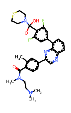 Cc1cc(-c2cnc3cccc(-c4cc(F)c(C(O)(O)N5CCSCC5)c(F)c4)c3n2)ccc1C(=O)N(C)CCN(C)C